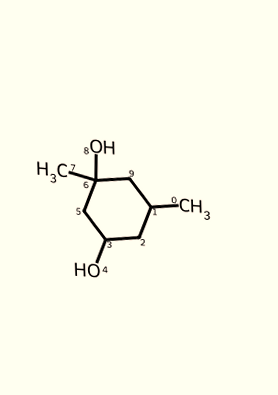 CC1CC(O)CC(C)(O)C1